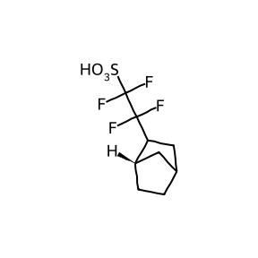 O=S(=O)(O)C(F)(F)C(F)(F)C1CC2CC[C@H]1C2